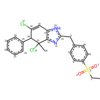 CCS(=O)(=O)c1ccc(Cc2nc3c([nH]2)C=C(Cl)C(c2ccccc2)C3(C)Cl)cc1